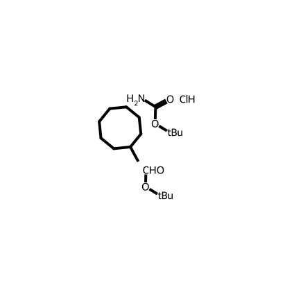 CC(C)(C)OC(N)=O.CC(C)(C)OC=O.CC1CCCCCCC1.Cl